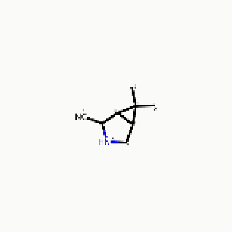 CC1(C)C2CNC(C#N)C21